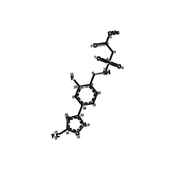 COC(=O)CS(=O)(=O)NCc1ccc(-c2noc(C(F)(F)F)n2)cc1F